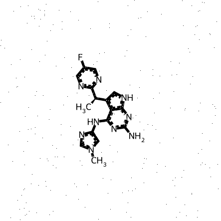 C[C@@H](c1ncc(F)cn1)c1c[nH]c2nc(N)nc(Nc3cn(C)cn3)c12